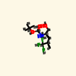 C[C@H](C[C@H](CO)NC(=O)OC(C)(C)C)C(F)(F)F